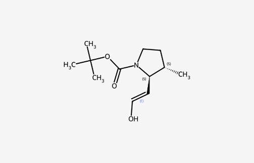 C[C@H]1CCN(C(=O)OC(C)(C)C)[C@@H]1/C=C/O